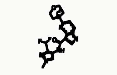 Cn1cc(NC(=O)c2cnn3ccc(N4CC5CCCC4CO5)nc23)c(C(F)F)n1